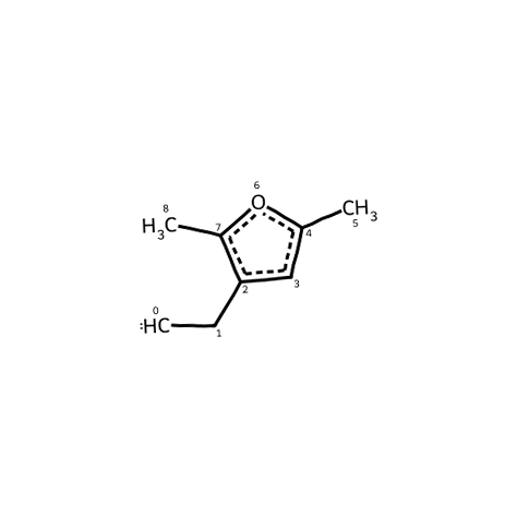 [CH]Cc1cc(C)oc1C